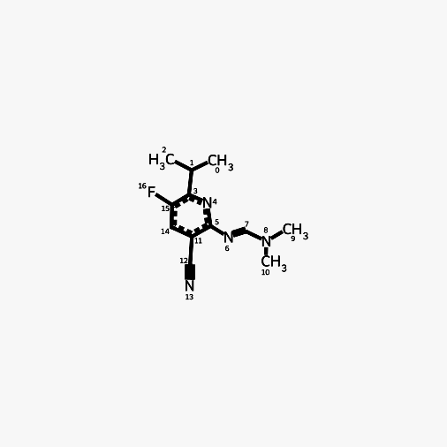 CC(C)c1nc(N=CN(C)C)c(C#N)cc1F